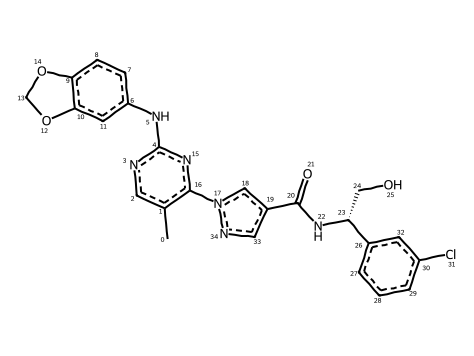 Cc1cnc(Nc2ccc3c(c2)OCO3)nc1-n1cc(C(=O)N[C@H](CO)c2cccc(Cl)c2)cn1